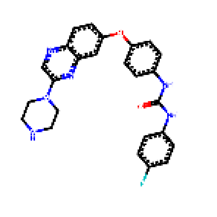 O=C(Nc1ccc(F)cc1)Nc1ccc(Oc2ccc3ncc(N4CCNCC4)nc3c2)cc1